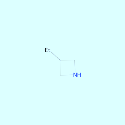 C[CH]C1CNC1